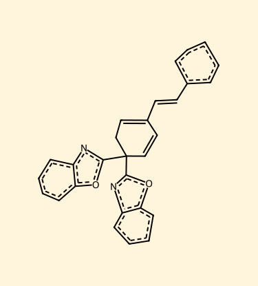 C(=Cc1ccccc1)C1=CCC(c2nc3ccccc3o2)(c2nc3ccccc3o2)C=C1